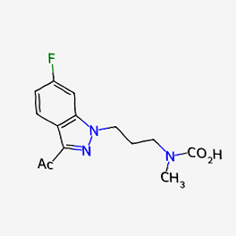 CC(=O)c1nn(CCCN(C)C(=O)O)c2cc(F)ccc12